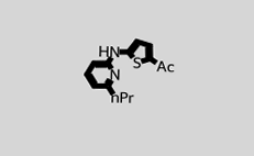 CCCc1cccc(Nc2ccc(C(C)=O)s2)n1